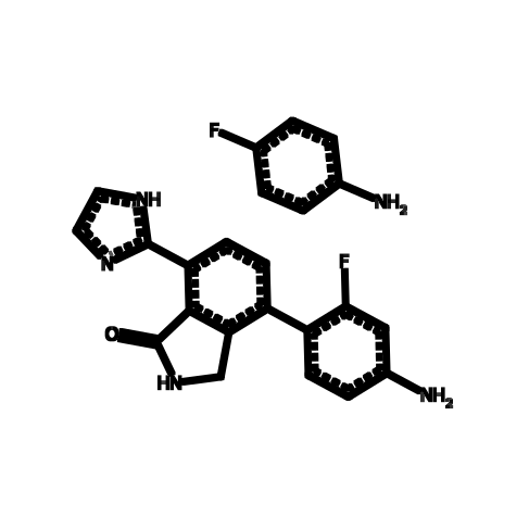 Nc1ccc(-c2ccc(-c3ncc[nH]3)c3c2CNC3=O)c(F)c1.Nc1ccc(F)cc1